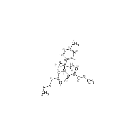 CCCCC(=O)ON(C(=O)C(=O)OCC)C(C)(C)c1ccc(C)nc1